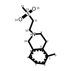 Cc1cccc2c1CCN(CCS(C)(=O)=O)C2